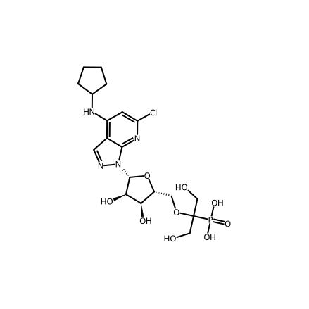 O=P(O)(O)C(CO)(CO)OC[C@H]1O[C@@H](n2ncc3c(NC4CCCC4)cc(Cl)nc32)[C@H](O)[C@@H]1O